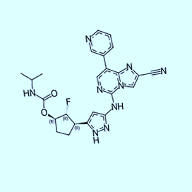 CC(C)NC(=O)O[C@@H]1CC[C@H](c2cc(Nc3ncc(-c4cccnc4)c4nc(C#N)cn34)n[nH]2)[C@H]1F